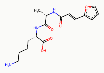 C[C@H](NC(=O)C=Cc1ccco1)C(=O)N[C@@H](CCCCN)C(=O)O